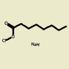 CCCCCCCC(=O)OCl.[NaH]